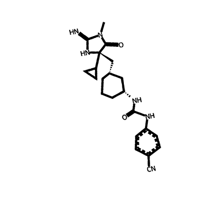 CN1C(=N)N[C@@](C[C@H]2CCC[C@@H](NC(=O)Nc3ccc(C#N)cc3)C2)(C2CC2)C1=O